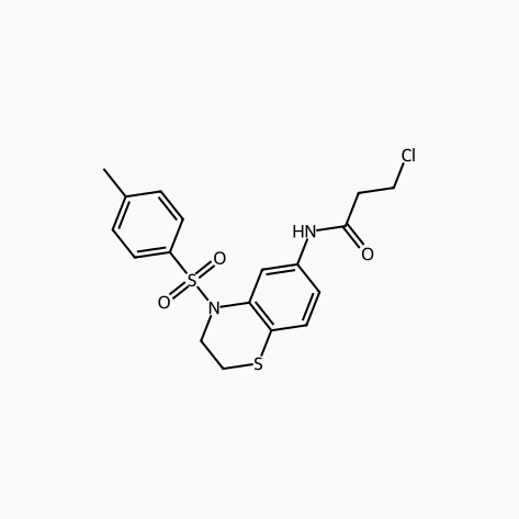 Cc1ccc(S(=O)(=O)N2CCSc3ccc(NC(=O)CCCl)cc32)cc1